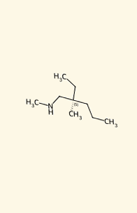 CCC[C@](C)(CC)CNC